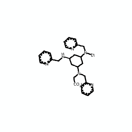 CCN(Cc1ccccn1)C1CC(NCc2ccccn2)CC(N(CC(=O)O)Cc2ccccn2)C1